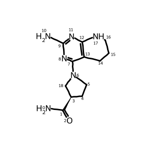 NC(=O)[C@@H]1CCN(c2nc(N)nc3c2CCCN3)C1